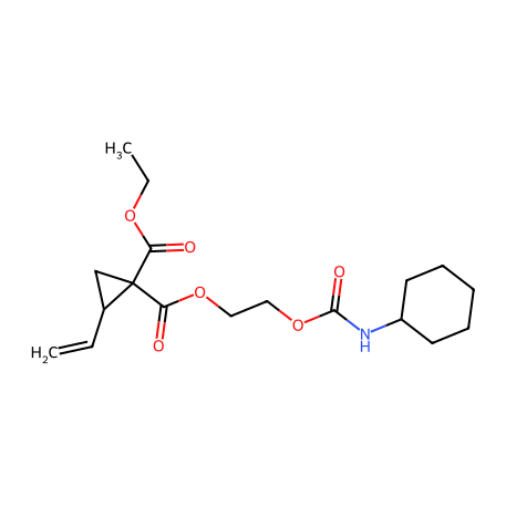 C=CC1CC1(C(=O)OCC)C(=O)OCCOC(=O)NC1CCCCC1